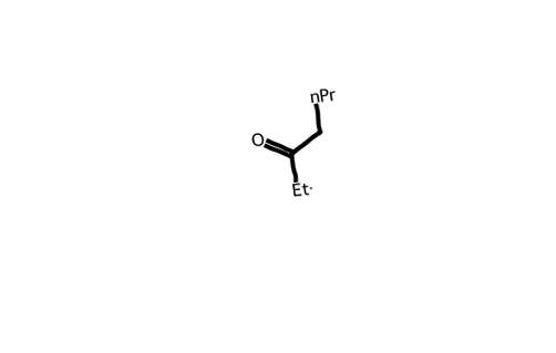 C[CH]C(=O)CCCC